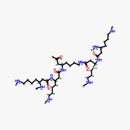 CNCCCCC(CC(=O)NC(CCCCNC)CC(=O)NCCCCC(CC(C)=O)NC(=O)CC(CCCCNC)NC(=O)CC(CCCCNC)NC)NC